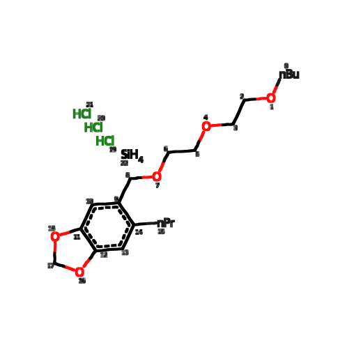 CCCCOCCOCCOCc1cc2c(cc1CCC)OCO2.Cl.Cl.Cl.[SiH4]